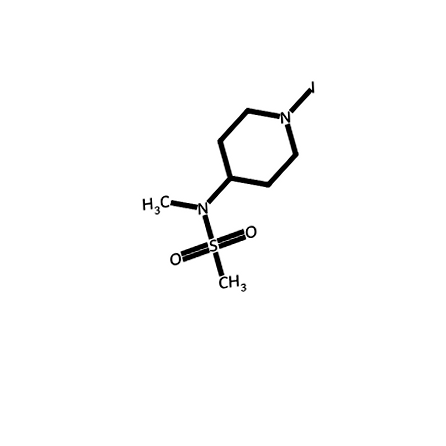 CN(C1CCN(I)CC1)S(C)(=O)=O